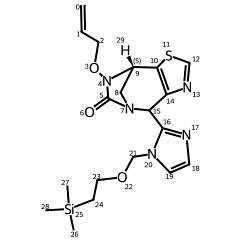 C=CCON1C(=O)N2C[C@H]1c1scnc1C2c1nccn1COCC[Si](C)(C)C